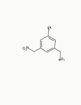 CCc1cc(C[N+](=O)[O-])cc(C[N+](=O)[O-])c1